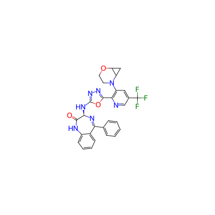 O=C1Nc2ccccc2C(c2ccccc2)=N[C@@H]1Nc1nnc(-c2ncc(C(F)(F)F)cc2N2CCOC3CC32)o1